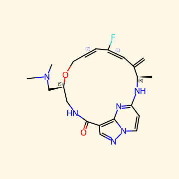 C=C1/C=C(F)\C=C/CO[C@H](CN(C)C)CNC(=O)c2cnn3ccc(nc23)N[C@@H]1C